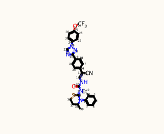 CCc1ccccc1N1/C(=N/C(=O)N/C=C(\C#N)c2ccc(-c3ncn(-c4ccc(OC(F)(F)F)cc4)n3)cc2)SCCC1C